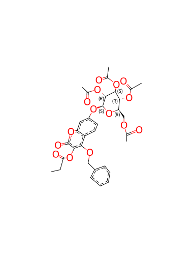 CCC(=O)Oc1c(OCc2ccccc2)c2ccc(O[C@@H]3O[C@H](COC(C)=O)[C@@H](OC(C)=O)[C@H](OC(C)=O)[C@H]3OC(C)=O)cc2oc1=O